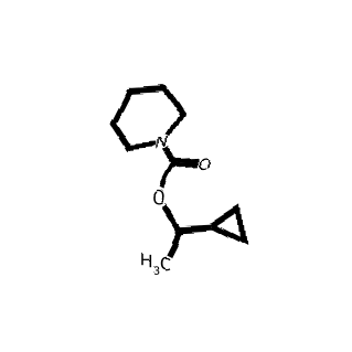 CC(OC(=O)N1CCCCC1)C1CC1